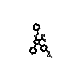 COc1ccc(-n2c(-c3ccncc3)cc(OCc3ccccc3)c2C(=O)O)cc1